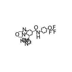 C[C@@H]1COCc2nc3cc(C(=O)Nc4ccc(OC(F)(F)F)cc4)cc(-c4ccn[nH]4)c3n21